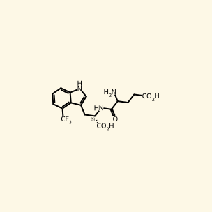 NC(CCC(=O)O)C(=O)N[C@@H](Cc1c[nH]c2cccc(C(F)(F)F)c12)C(=O)O